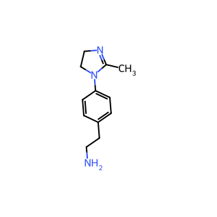 CC1=NCCN1c1ccc(CCN)cc1